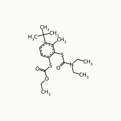 CCOC(=O)Sc1ccc(C(C)(C)C)c(C)c1SC(=O)N(CC)CC